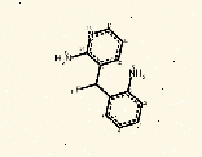 Nc1ccccc1C(F)c1cccnc1N